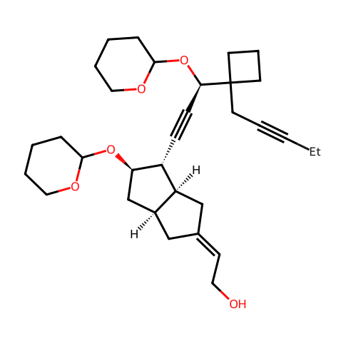 CCC#CCC1([C@@H](C#C[C@@H]2[C@H]3C/C(=C/CO)C[C@H]3C[C@H]2OC2CCCCO2)OC2CCCCO2)CCC1